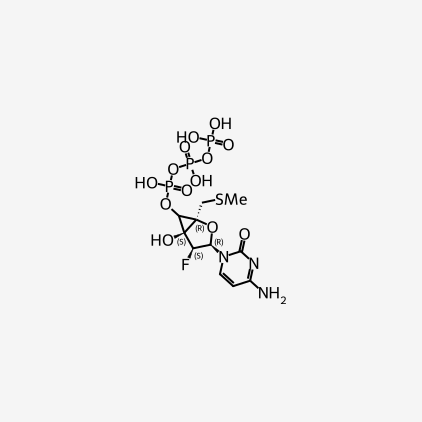 CSC[C@]12O[C@@H](n3ccc(N)nc3=O)[C@@H](F)[C@]1(O)C2OP(=O)(O)OP(=O)(O)OP(=O)(O)O